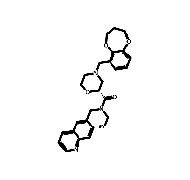 CC(C)CN(Cc1ccc2ncccc2c1)C(=O)[C@H]1CN(Cc2cccc3c2OCCCO3)CCO1